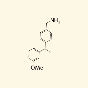 COc1cccc([C](C)c2ccc(CN)cc2)c1